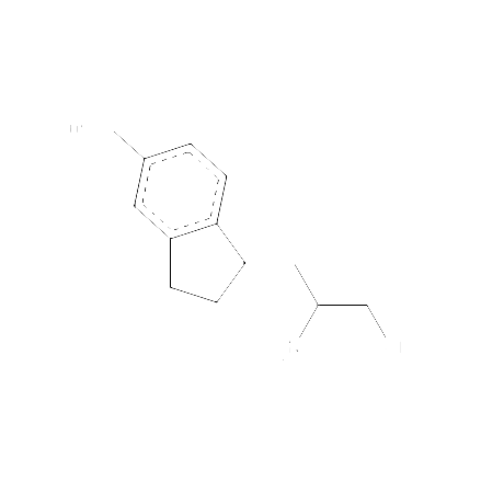 CCCCCCCCc1ccc2c(c1)CC[C@H]2CC(N)CO